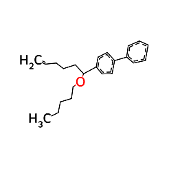 C=CCCCC(OCCCCC)c1ccc(-c2ccccc2)cc1